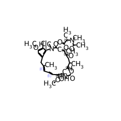 COc1cc2cc(c1Cl)N(C)C(=O)C[C@H](OC(=O)[C@H](C)N(C)C(C)=O)[C@]1(C)OC1C(C)[C@@H]1C[C@@](O)(NC(=O)O1)[C@H](OC)/C=C/C=C(\C)C2